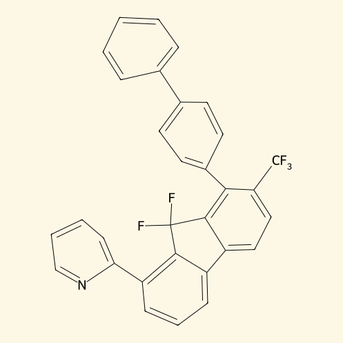 FC(F)(F)c1ccc2c(c1-c1ccc(-c3ccccc3)cc1)C(F)(F)c1c(-c3ccccn3)cccc1-2